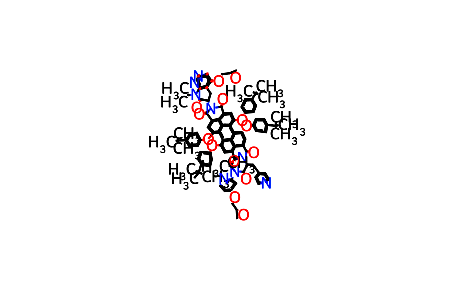 CC(C)N(C(=O)C(Cc1ccncc1)N1C(=O)c2cc(Oc3ccc(C(C)(C)C)cc3)c3c4c(Oc5ccc(C(C)(C)C)cc5)cc5c6c(cc(Oc7ccc(C(C)(C)C)cc7)c(c7c(Oc8ccc(C(C)(C)C)cc8)cc(c2c37)C1=O)c64)C(=O)N(C(Cc1ccncc1)C(=O)N(c1cc(OCC2CO2)ccn1)C(C)C)C5=O)c1cc(OCC2CO2)ccn1